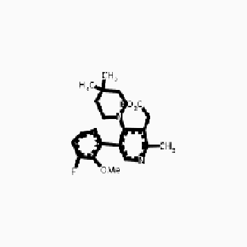 COc1c(F)cccc1-c1cnc(C)c(CC(=O)O)c1N1CCC(C)(C)CC1